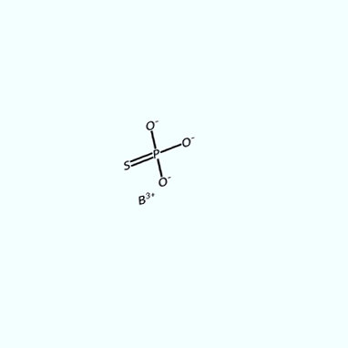 [B+3].[O-]P([O-])([O-])=S